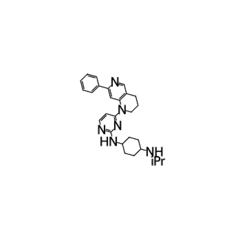 CC(C)NC1CCC(Nc2nccc(N3CCCc4cnc(-c5ccccc5)cc43)n2)CC1